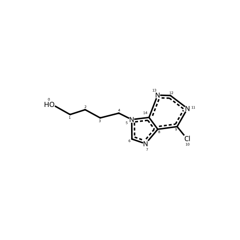 OCCCCn1cnc2c(Cl)ncnc21